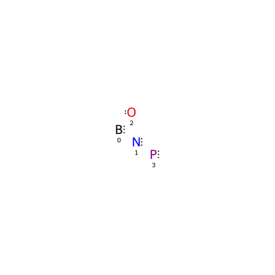 [B].[N].[O].[P]